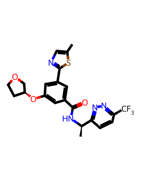 Cc1cnc(-c2cc(O[C@H]3CCOC3)cc(C(=O)N[C@H](C)c3ccc(C(F)(F)F)nn3)c2)s1